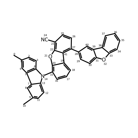 Cc1ccc2c(c1)c1cc(C)ccc1n2-c1cccc2c1oc1c(C#N)ccc(-c3ccc4oc5ccccc5c4c3)c12